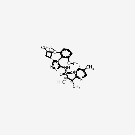 COc1cccc(OC)c1-n1c(NS(=O)(=O)[C@@H](C)[C@H](C)c2ncc(C)cn2)nnc1[C@H]1C[C@H](Cl)C1